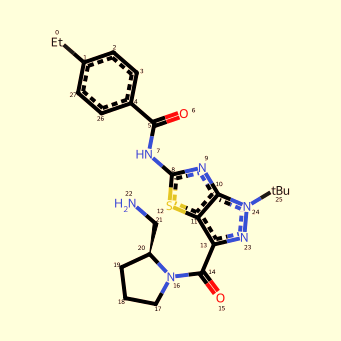 CCc1ccc(C(=O)Nc2nc3c(s2)c(C(=O)N2CCC[C@H]2CN)nn3C(C)(C)C)cc1